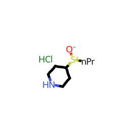 CCC[S+]([O-])C1CCNCC1.Cl